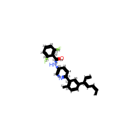 C=C/C(=C\C=C/C)c1ccc(C)c(-c2ccc(NC(=O)c3c(F)cccc3F)cn2)c1